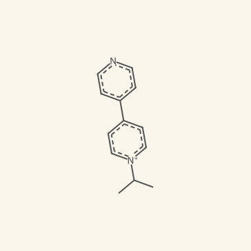 CC(C)[n+]1ccc(-c2ccncc2)cc1